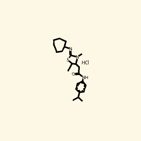 CC(C)c1ccc(NC(=O)CC2C(C)SC(=NC3CCCCCC3)N2C)cc1.Cl